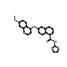 COc1ccc2c(Oc3ccc4c(C(=O)Nc5nccs5)cccc4c3)ccnc2c1